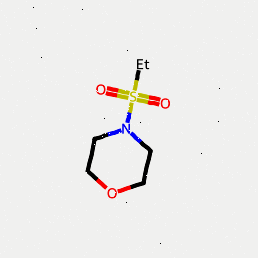 CCS(=O)(=O)N1CCOCC1